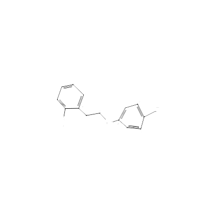 Fc1ccc(OCCc2ccccc2Br)cc1